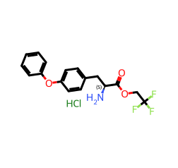 Cl.N[C@@H](Cc1ccc(Oc2ccccc2)cc1)C(=O)OCC(F)(F)F